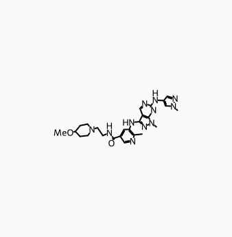 COC1CCN(CCNC(=O)c2cnc(C)c(Nc3nn(C)c4nc(Nc5cnn(C)c5)ncc34)c2)CC1